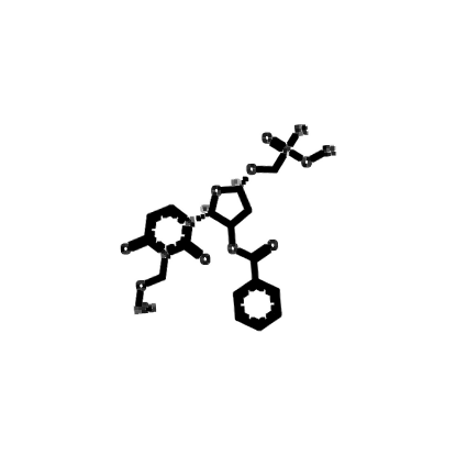 CCCCOCn1c(=O)ccn([C@@H]2O[C@H](OCP(=O)(CC)OCC)CC2OC(=O)c2ccccc2)c1=O